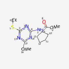 CCSc1nc(NC2(C(=O)OC)CCCC2)nc(OC)n1